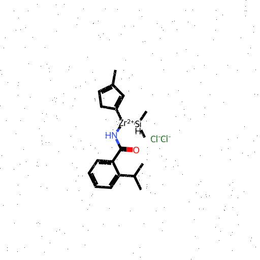 CC1=CC[C]([Zr+2]([NH]C(=O)c2ccccc2C(C)C)[SiH](C)C)=C1.[Cl-].[Cl-]